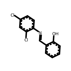 Oc1ccccc1C=Nc1ccc(Cl)cc1Cl